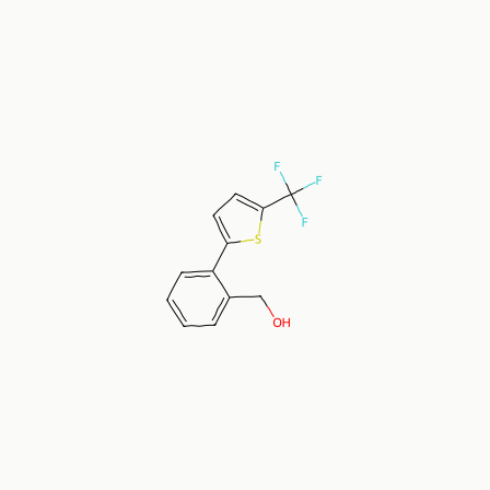 OCc1ccccc1-c1ccc(C(F)(F)F)s1